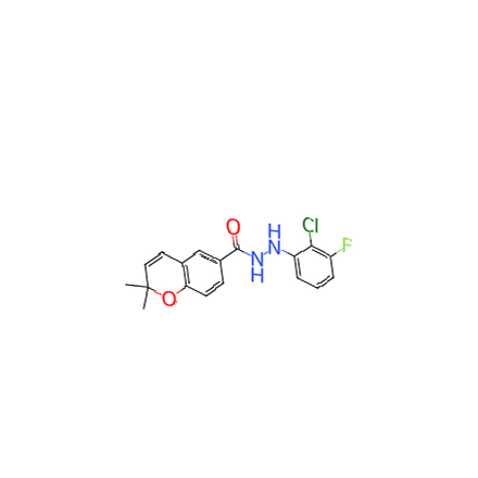 CC1(C)C=Cc2cc(C(=O)NNc3cccc(F)c3Cl)ccc2O1